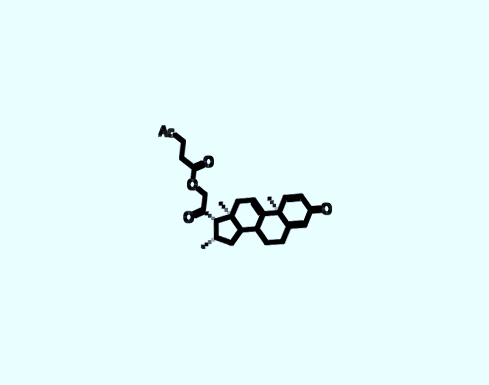 CC(=O)CCC(=O)OCC(=O)[C@H]1[C@@H](C)CC2C3CCC4=CC(=O)C=C[C@]4(C)C3=CC[C@@]21C